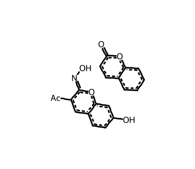 CC(=O)c1cc2ccc(O)cc2oc1=NO.O=c1ccc2ccccc2o1